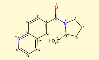 O=C(O)C1CCCN1C(=O)c1ccc2ncccc2c1